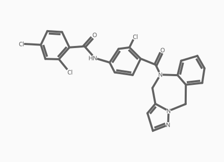 O=C(Nc1ccc(C(=O)N2Cc3ccnn3Cc3ccccc32)c(Cl)c1)c1ccc(Cl)cc1Cl